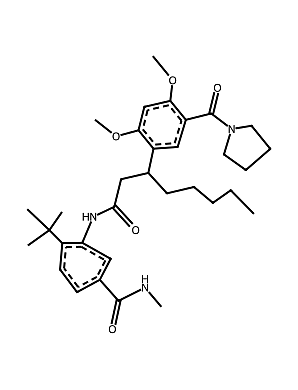 CCCCCC(CC(=O)Nc1cc(C(=O)NC)ccc1C(C)(C)C)c1cc(C(=O)N2CCCC2)c(OC)cc1OC